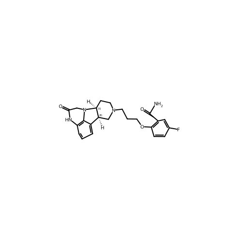 NC(=O)c1cc(F)ccc1OCCCN1CC[C@H]2[C@@H](C1)c1cccc3c1N2CC(=O)N3